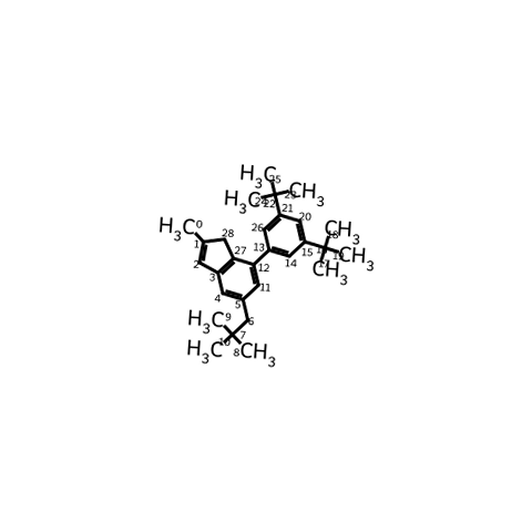 CC1=Cc2cc(CC(C)(C)C)cc(-c3cc(C(C)(C)C)cc(C(C)(C)C)c3)c2C1